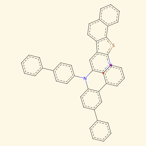 c1ccc(-c2ccc(N(c3cnc4sc5c6ccccc6ccc5c4c3)c3ccc(-c4ccccc4)cc3-c3ccccc3)cc2)cc1